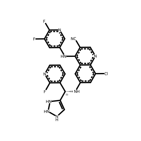 N#Cc1cnc2c(Cl)cc(N[C@H](C3=CNNN3)c3cccnc3F)cc2c1Nc1cnc(F)c(F)c1